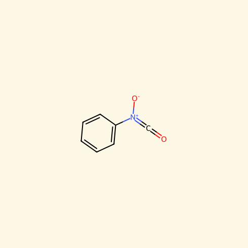 O=C=[N+]([O-])c1ccccc1